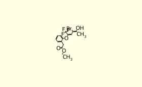 CCOC(=O)Cc1ccccc1O/C(=C/C(Br)=C(\C)O)C(F)(F)F